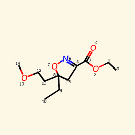 CCOC(=O)C1=NOC(CC)(CCOC)C1